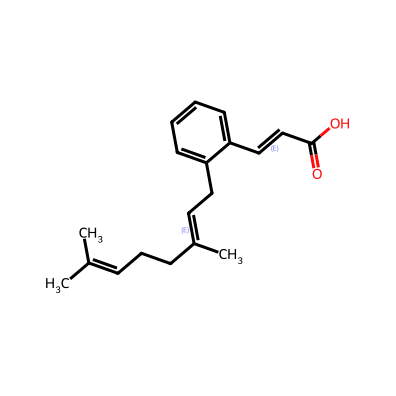 CC(C)=CCC/C(C)=C/Cc1ccccc1/C=C/C(=O)O